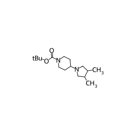 CC1CN(C2CCN(C(=O)OC(C)(C)C)CC2)CC1C